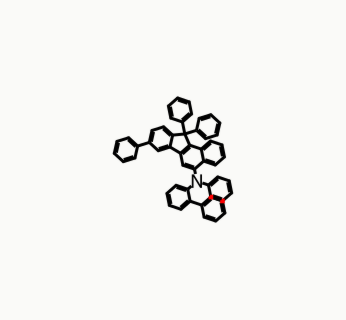 c1ccc(-c2ccc3c(c2)-c2cc(N(c4ccccc4)c4ccccc4-c4ccccc4)c4ccccc4c2C3(c2ccccc2)c2ccccc2)cc1